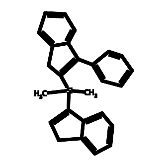 C[Si](C)(C1=CCc2ccccc21)C1=C(c2ccccc2)c2ccccc2C1